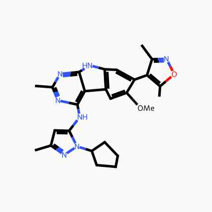 COc1cc2c(cc1-c1c(C)noc1C)[nH]c1nc(C)nc(Nc3cc(C)nn3C3CCCC3)c12